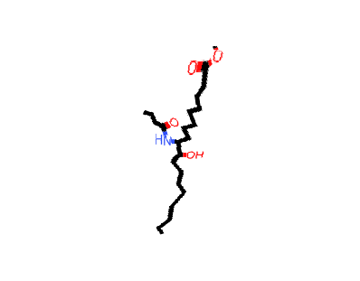 CCCCCCCCC(O)C(CCCCCCCC(=O)OC)NC(=O)CCC